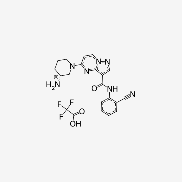 N#Cc1ccccc1NC(=O)c1cnn2ccc(N3CCC[C@@H](N)C3)nc12.O=C(O)C(F)(F)F